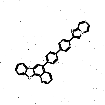 c1ccc2c(c1)oc1c3ccccc3c(-c3ccc(-c4ccc(-c5cn6ccccc6n5)cc4)cc3)cc21